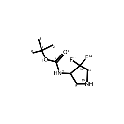 CC(C)(C)OC(=O)NC1CNCC1(F)F